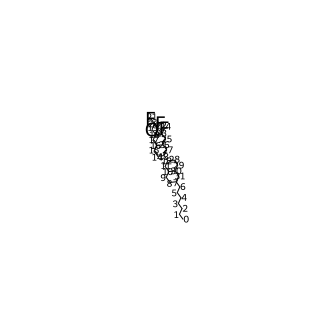 CCCCCCCC1CCC2CC(c3ccc4cc(OC(F)F)c(F)cc4c3)CCC2C1